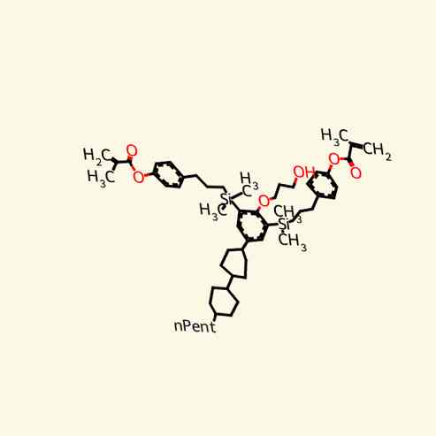 C=C(C)C(=O)Oc1ccc(CCC[Si](C)(C)c2cc(C3CCC(C4CCC(CCCCC)CC4)CC3)cc([Si](C)(C)CCCc3ccc(OC(=O)C(=C)C)cc3)c2OCCCO)cc1